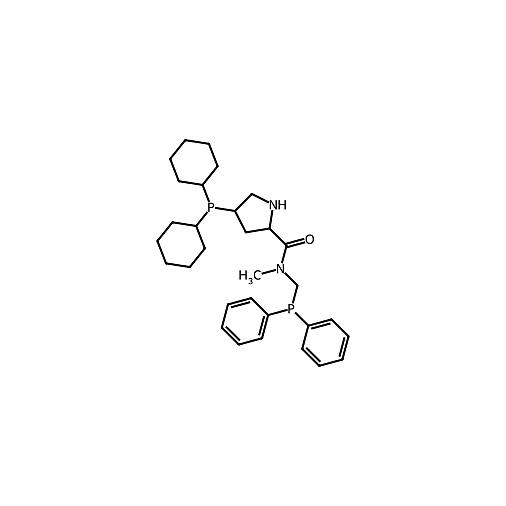 CN(CP(c1ccccc1)c1ccccc1)C(=O)C1CC(P(C2CCCCC2)C2CCCCC2)CN1